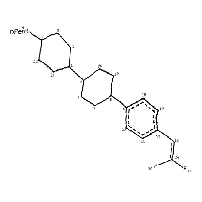 CCCCCC1CCC(C2CCC(c3ccc(C=C(F)F)cc3)CC2)CC1